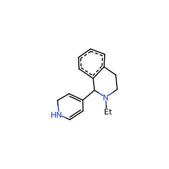 CCN1CCc2ccccc2C1C1=CCNC=C1